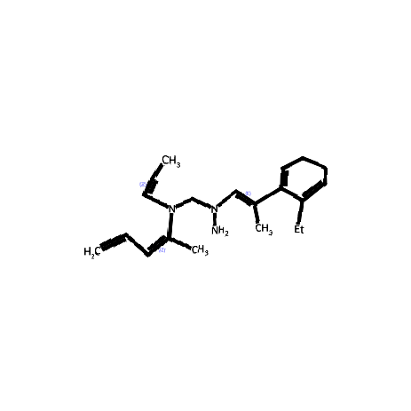 C=C/C=C(/C)N(/C=C\C)CN(N)/C=C(\C)C1=CCCC=C1CC